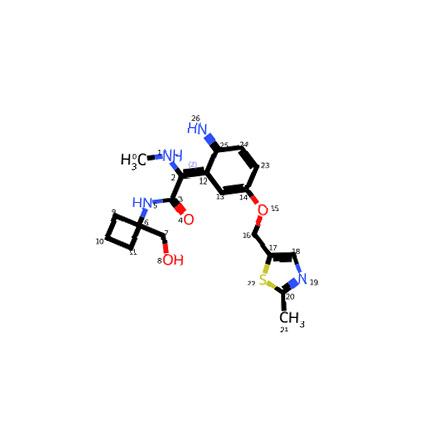 CN/C(C(=O)NC1(CO)CCC1)=C1/C=C(OCc2cnc(C)s2)C=CC1=N